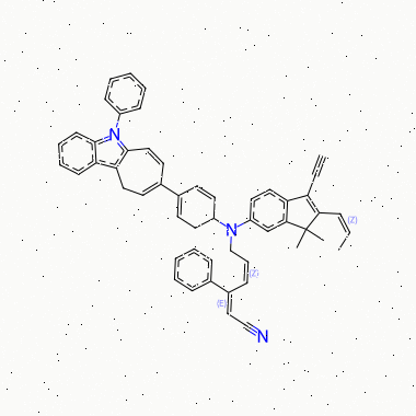 C#CC1=C(/C=C\C)C(C)(C)c2cc(N(C/C=C\C(=C/C#N)c3ccccc3)C3C=CC(C4=CCc5c(n(-c6ccccc6)c6ccccc56)C=C4)=CC3)ccc21